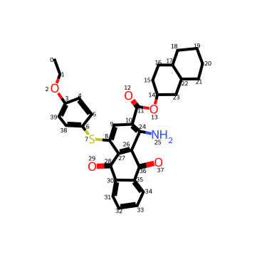 CCOc1ccc(Sc2cc(C(=O)OC3CCC4CCCCC4C3)c(N)c3c2C(=O)c2ccccc2C3=O)cc1